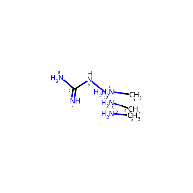 CN.CN.CN.N=C(N)NN